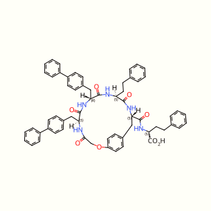 O=C1COc2ccc(cc2)C[C@@H](C(=O)N[C@@H](CCc2ccccc2)C(=O)O)NC(=O)[C@H](CCc2ccccc2)NC(=O)[C@@H](Cc2ccc(-c3ccccc3)cc2)NC(=O)[C@H](Cc2ccc(-c3ccccc3)cc2)N1